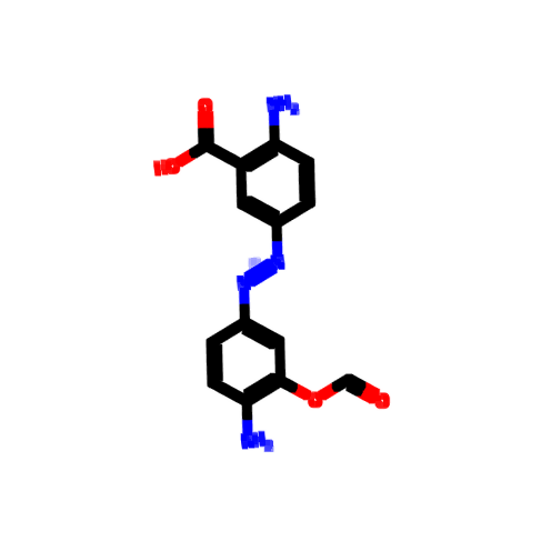 Nc1ccc(/N=N/c2ccc(N)c(C(=O)O)c2)cc1OC=O